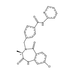 C[C@@H]1C(=O)Nc2cc(Cl)ccc2C(=O)N1Cc1ccc(C(=O)Nc2ccccn2)cc1